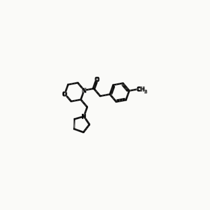 Cc1ccc(CC(=O)N2CCOCC2CN2CCCC2)cc1